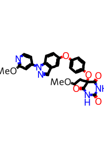 COCCC1(Oc2ccc(Oc3ccc4c(cnn4-c4ccnc(OC)c4)c3)cc2)C(=O)NC(=O)NC1=O